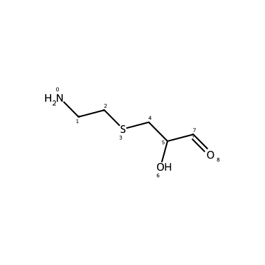 NCCSCC(O)[C]=O